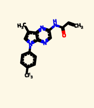 C=CC(=O)Nc1cnc2c(n1)c(C)cn2-c1ccc(C(F)(F)F)cc1